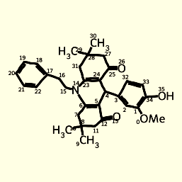 COc1cc(C2C3=C(CC(C)(C)CC3=O)N(CCc3ccccc3)C3=C2C(=O)CC(C)(C)C3)ccc1O